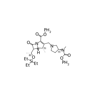 CC[Si](CC)(CC)O[C@H](C)C1C(=O)N2C(C(=O)OP)=C(CN3CC[C@H](N(C)C(=O)OP)C3)[C@H](C)[C@H]12